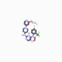 COc1cc(N2CCC(NC3N=CC4=C(N3)N(c3ccc(F)cc3C(F)(F)F)CCO4)CC2)ccn1